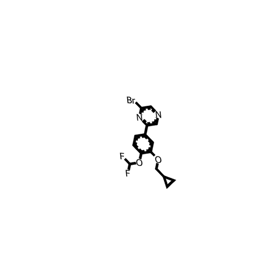 FC(F)Oc1ccc(-c2cncc(Br)n2)cc1OCC1CC1